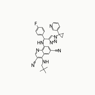 CC(C)(C)CNc1c(C#N)cnc2c(N[C@@H](c3ccc(F)cc3)c3cn(C4(c5cccnc5)CC4)nn3)cc(C#N)cc12